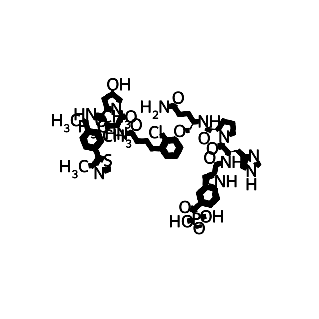 Cc1ncsc1-c1ccc([C@H](C)NC(=O)[C@@H]2C[C@@H](O)CN2C(=O)[C@@H](NC(=O)CCCc2cccc(OC[C@H](CCC(N)=O)NC(=O)[C@@H]3CCCN3C(=O)[C@H](Cc3c[nH]cn3)NC(=O)c3cc4cc(C(=O)P(=O)(O)O)ccc4[nH]3)c2Cl)C(C)(C)C)cc1